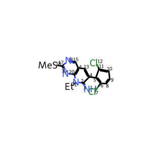 CCn1c(=N)c(-c2c(Cl)cccc2Cl)cc2cnc(SC)nc21